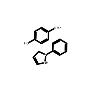 C1=CNN(c2ccccc2)C1.CNc1ccc(O)cc1